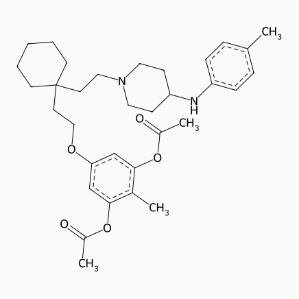 CC(=O)Oc1cc(OCCC2(CCN3CCC(Nc4ccc(C)cc4)CC3)CCCCC2)cc(OC(C)=O)c1C